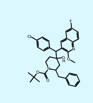 COc1nc2ccc(F)cc2cc1C(c1ccc(Cl)cc1)C1(O)CCN(C(=O)OC(C)(C)C)C(Cc2ccccc2)C1